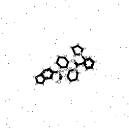 O=C(Nc1ccc2c(c1)CCC2)[C@H]1CCCN(C(=O)c2ccccc2N2CCCC2)[C@H]1C1CCCCC1